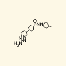 Cc1ccc(CNC(=O)c2ccc(-c3ccc4nc(N)nn4c3)cc2)cc1